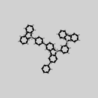 c1ccc(-c2ccc3c(c2)c2cc(-c4ccc(-n5c6ccccc6c6ccccc65)cc4)ccc2n3-c2cccc(-n3c4ccccc4c4ccccc43)c2)cc1